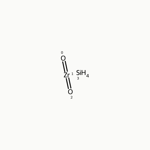 [O]=[Zr]=[O].[SiH4]